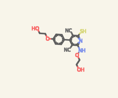 N#Cc1c(S)nc(NOCCO)c(C#N)c1-c1ccc(OCCO)cc1